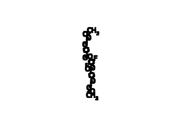 C=CC(=O)OCCOc1ccc(C(=O)Oc2cc(F)c(OC(=O)c3ccc(OCCOC(=O)C=C)cc3)cc2F)cc1